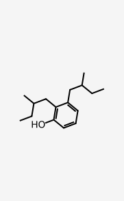 CCC(C)Cc1cccc(O)c1CC(C)CC